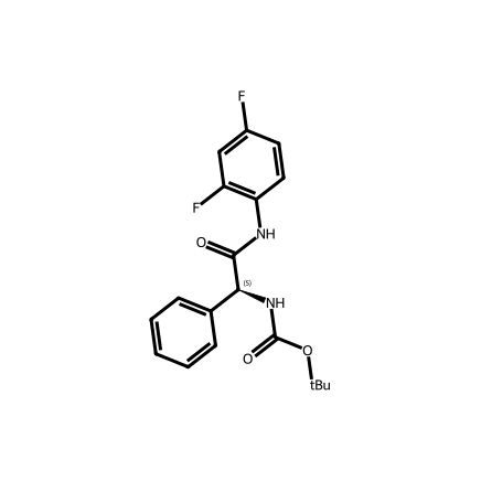 CC(C)(C)OC(=O)N[C@H](C(=O)Nc1ccc(F)cc1F)c1ccccc1